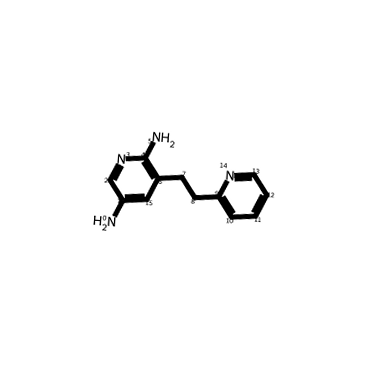 Nc1cnc(N)c(CCc2ccccn2)c1